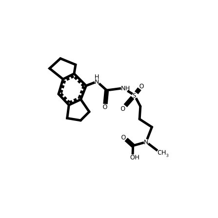 CN(CCCS(=O)(=O)NC(=O)Nc1c2c(cc3c1CCC3)CCC2)C(=O)O